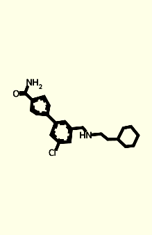 NC(=O)c1ccc(-c2cc(Cl)cc(CNCCC3CCCCC3)c2)cc1